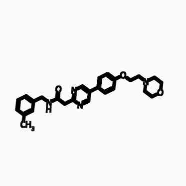 Cc1cccc(CNC(=O)Cc2ncc(-c3ccc(OCCN4CCOCC4)cc3)cn2)c1